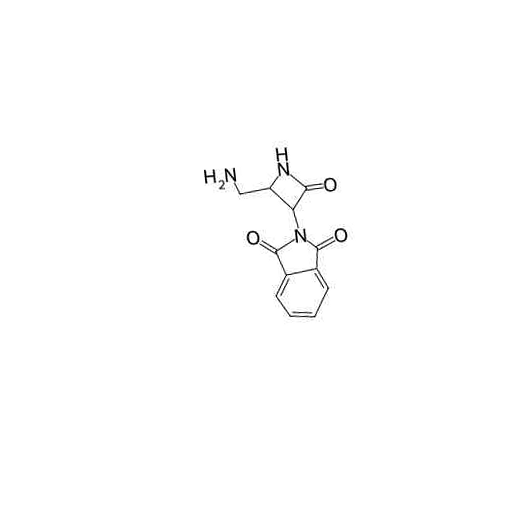 NCC1NC(=O)C1N1C(=O)c2ccccc2C1=O